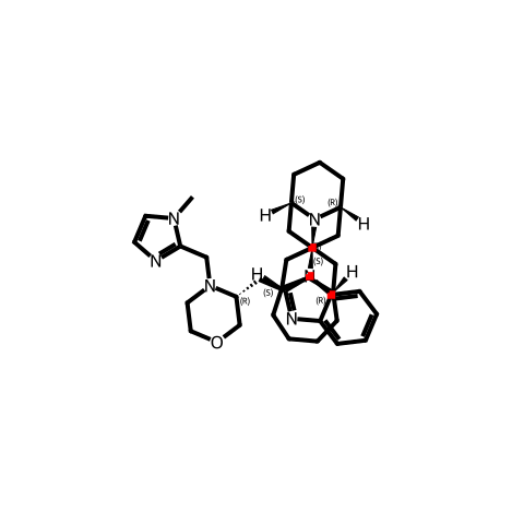 Cn1ccnc1CN1CCOC[C@H]1Cc1nc2ccccc2n1[C@@H]1C[C@H]2CCC[C@@H](C1)N2[C@H]1C[C@@H]2CCCC[C@@H](C2)C1